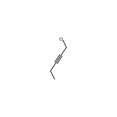 [CH2]CC#CCCl